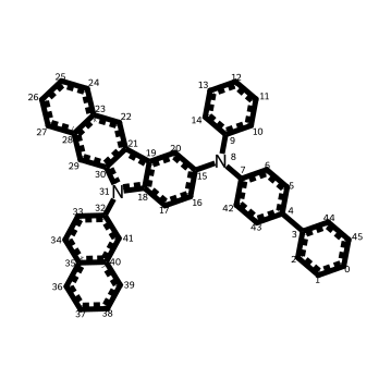 c1ccc(-c2ccc(N(c3ccccc3)c3ccc4c(c3)c3cc5ccccc5cc3n4-c3ccc4ccccc4c3)cc2)cc1